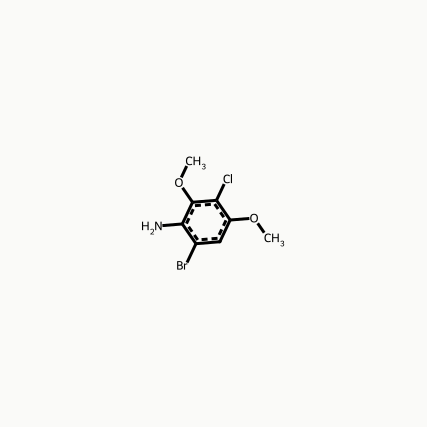 COc1cc(Br)c(N)c(OC)c1Cl